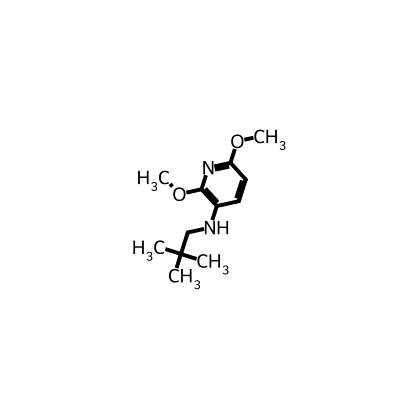 COc1ccc(NCC(C)(C)C)c(OC)n1